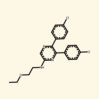 CCOCCNc1cnc(-c2ccc(Cl)cc2)c(-c2ccc(Cl)cc2)n1